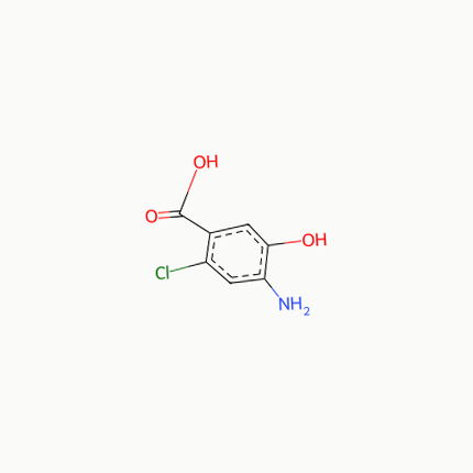 Nc1cc(Cl)c(C(=O)O)cc1O